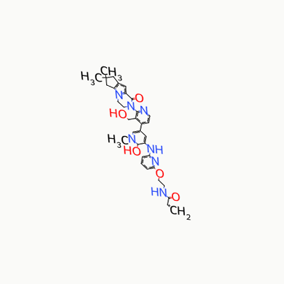 C=CC(=O)NCCOc1cccc(NC2=CC(c3ccnc(N4CCn5c(cc6c5CC(C)(C)C6)C4=O)c3CO)=CN(C)C2O)n1